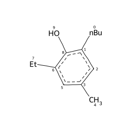 CCCCc1cc(C)cc(CC)c1O